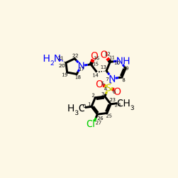 Cc1cc(S(=O)(=O)N2C=CNC(=O)[C@H]2CC(=O)N2CC[C@H](N)C2)c(C)cc1Cl